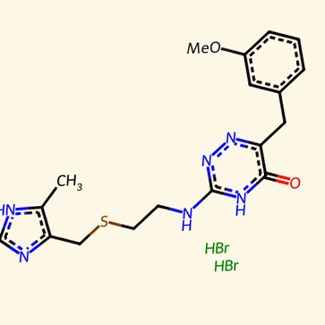 Br.Br.COc1cccc(Cc2nnc(NCCSCc3nc[nH]c3C)[nH]c2=O)c1